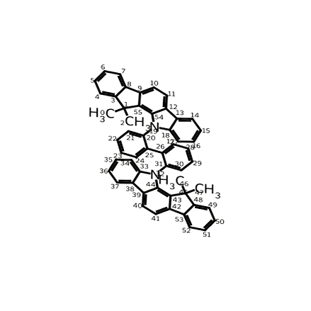 CC1(C)c2ccccc2-c2ccc3c4ccccc4n(-c4ccccc4-c4ccccc4-n4c5ccccc5c5ccc6c(c54)C(C)(C)c4ccccc4-6)c3c21